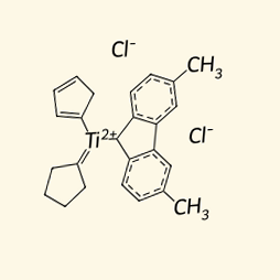 Cc1ccc2c(c1)-c1cc(C)ccc1[CH]2[Ti+2]([C]1=CC=CC1)=[C]1CCCC1.[Cl-].[Cl-]